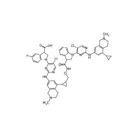 CN1CCc2c(cc(Nc3ncc(Cl)c(N4CC(C(=O)NOCC5CC5c5cc(Nc6ncc(Cl)c(N7CC(C(=O)O)c8cc(F)ccc87)n6)cc6c5CCN(C)C6)c5ccccc54)n3)cc2C2CC2)C1